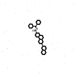 c1ccc(C(=NNc2ccc3c(ccc4cc(-c5ccc6ccccc6c5)ccc43)c2)c2ccccc2)cc1